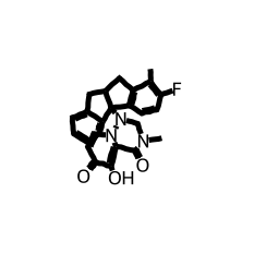 Cc1c(F)ccc2c1CC1Cc3ccccc3C21N1CN(C)C(=O)c2c(O)c(=O)ccn21